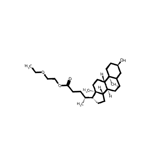 CCOCCOC(=O)CC[C@@H](C)[C@H]1CC[C@H]2[C@@H]3CCC4C[C@H](O)CC[C@]4(C)[C@H]3CC[C@]12C